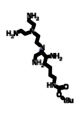 CC(C)(C)OC(=O)NCCCCC(N)/C(CN)=N/CCN(CCN)CCN